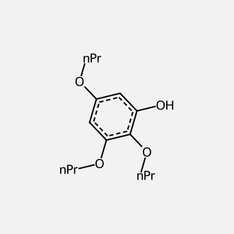 CCCOc1cc(O)c(OCCC)c(OCCC)c1